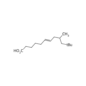 CC(CC=CCCCCC(=O)O)CC(C)(C)C